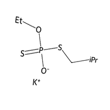 CCOP([O-])(=S)SCC(C)C.[K+]